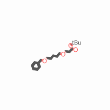 CC(C)(C)OC(=O)CCOCCCCCOCc1ccccc1